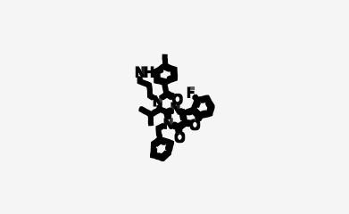 Cc1ccc(C(=O)N(CCCN)C(c2nc3c(oc4cccc(F)c43)c(=O)n2Cc2ccccc2)C(C)C)cc1